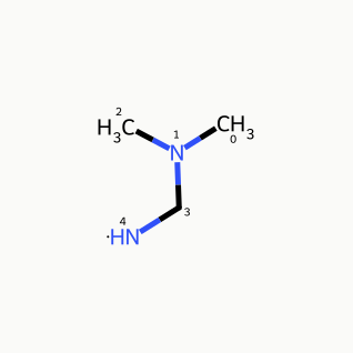 CN(C)C[NH]